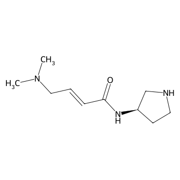 CN(C)C/C=C/C(=O)N[C@@H]1CCNC1